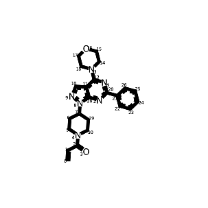 C=CC(=O)N1CCC(n2ncc3c(N4CCOCC4)nc(-c4cc[c]cc4)nc32)CC1